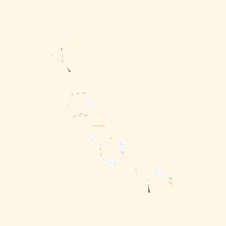 CC(=O)N[C@@H](C)COc1ncc2nc(-c3ncc(OC[C@H]4CC4(F)F)cc3Cl)oc2n1